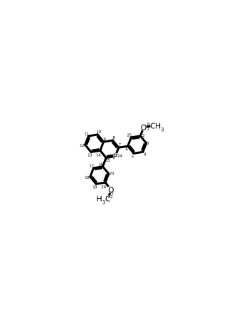 COc1cccc(-c2cc3ccccc3c(-c3cccc(OC)c3)p2)c1